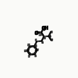 CC(C)C(CCc1ccccc1)C(=O)O